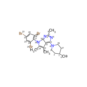 [CH]C1CCN(c2nc(C)nc3c2c(C)c(C)n3-c2c(Br)cc(Br)cc2Br)CC1